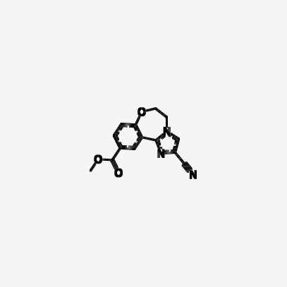 COC(=O)c1ccc2c(c1)-c1nc(C#N)cn1CCO2